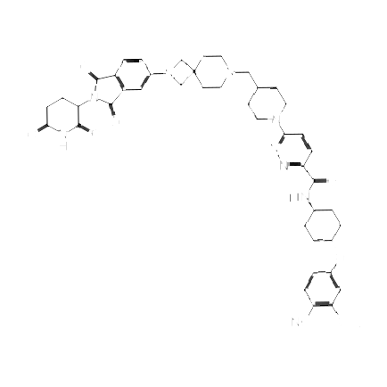 N#Cc1ccc(O[C@H]2CC[C@H](NC(=O)c3ccc(N4CCC(CN5CCC6(CC5)CN(c5ccc7c(c5)C(=O)N(C5CCC(=O)NC5=O)C7=O)C6)CC4)nn3)CC2)cc1C(F)(F)F